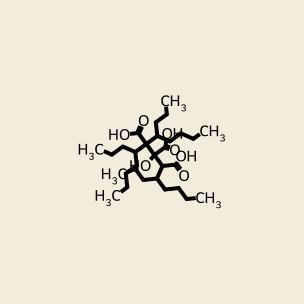 CCCCC(CCC)C(C(=O)O)C(O)(C(=O)O)C(C(=O)O)(C(CCC)CCCC)C(CCC)CCCC